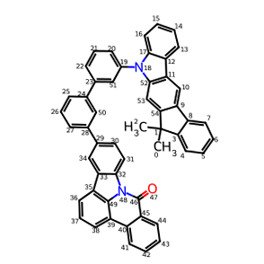 CC1(C)c2ccccc2-c2cc3c4ccccc4n(-c4cccc(-c5cccc(-c6ccc7c(c6)c6cccc8c9ccccc9c(=O)n7c86)c5)c4)c3cc21